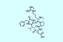 CC(C)C(CC(=O)[C@H](CC(=O)O)NC(=O)[C@@H]1CCCN1C(=O)[C@@H](N)CCCNC(=N)N)C(=O)N[C@@H](Cc1ccccc1)C(=O)O